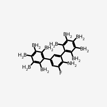 Bc1c(B)c(B)c(-c2cc(F)c(N)c(-c3c(B)c(B)c(B)c(B)c3B)c2)c(B)c1B